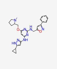 CN1CCCC1COc1cc(Nc2cc(C3CC3)[nH]n2)nc(NCc2cc(-c3ccccc3)no2)n1